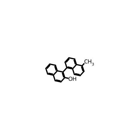 Cc1cccc2c(-c3c(O)ccc4ccccc34)cccc12